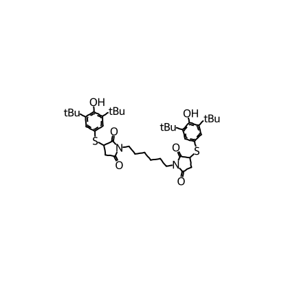 CC(C)(C)c1cc(SC2CC(=O)N(CCCCCCN3C(=O)CC(Sc4cc(C(C)(C)C)c(O)c(C(C)(C)C)c4)C3=O)C2=O)cc(C(C)(C)C)c1O